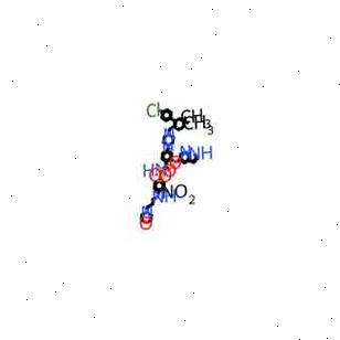 CC1(C)CCC(CN2CCN(c3ccc(C(=O)NS(=O)(=O)c4ccc(NCCCN5CCOCC5)c([N+](=O)[O-])c4)c(Oc4cnc5[nH]ccc5c4)c3)CC2)=C(c2ccc(Cl)cc2)C1